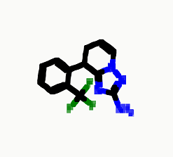 Nc1nc2n(n1)C=CCC2c1ccccc1C(F)(F)F